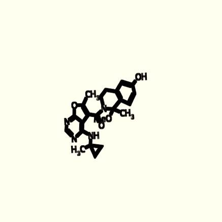 COC1(C)c2ccc(O)cc2CCN1C(=O)c1c(C)oc2ncnc(NC3(C)CC3)c12